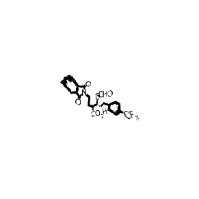 O=CO[C@H](CCc1ccc(C(F)(F)F)cc1)[C@H](CCN1C(=O)c2ccccc2C1=O)C(=O)O